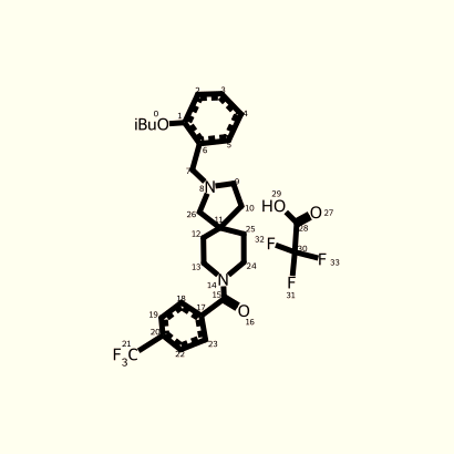 CC(C)COc1ccccc1CN1CCC2(CCN(C(=O)c3ccc(C(F)(F)F)cc3)CC2)C1.O=C(O)C(F)(F)F